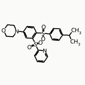 CC(C)c1ccc(S(=O)(=O)c2ccc(N3CCOCC3)cc2S(=O)(=O)c2ccccn2)cc1